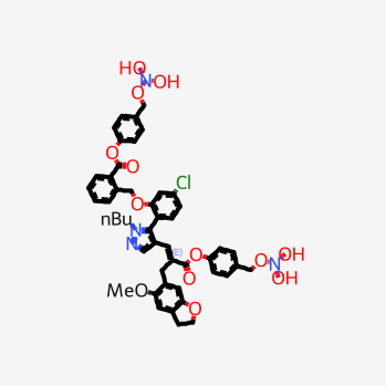 CCCCn1ncc(/C=C(\Cc2cc3c(cc2OC)CCO3)C(=O)Oc2ccc(CON(O)O)cc2)c1-c1ccc(Cl)cc1OCc1ccccc1C(=O)Oc1ccc(CON(O)O)cc1